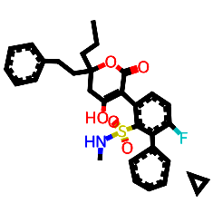 C1CC1.CCCC1(CCc2ccccc2)CC(O)=C(c2ccc(F)c(-c3ccccc3)c2S(=O)(=O)NC)C(=O)O1